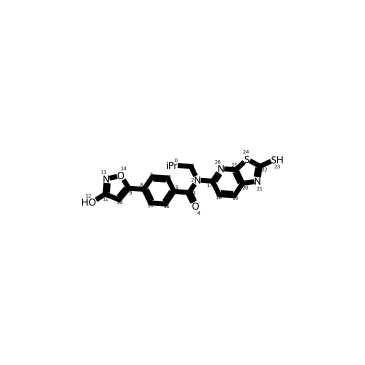 CC(C)CN(C(=O)c1ccc(-c2cc(O)no2)cc1)c1ccc2nc(S)sc2n1